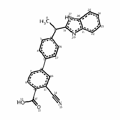 CC(c1ccc(-c2ccc(C(=O)O)c(C#N)c2)cc1)c1nc2ccccc2[nH]1